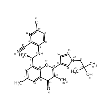 Cc1cc([C@@H](C)Nc2ccc(Cl)nc2C#N)c2oc(-c3cnn(CC(C)(C)O)c3)c(C)c(=O)c2c1